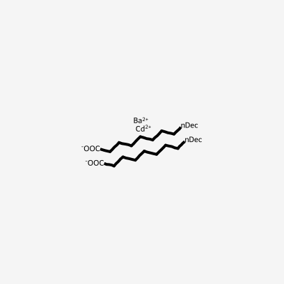 CCCCCCCCCCCCCCCCCC(=O)[O-].CCCCCCCCCCCCCCCCCC(=O)[O-].[Ba+2].[Cd+2]